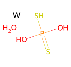 O.OP(O)(=S)S.[W]